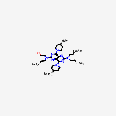 COCCN(CCOC)c1nc(N2CCC(OC)CC2)c2nc(N(CCO)CCC(=O)O)nc(N3CCC(OC)CC3)c2n1